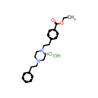 CCOC(=O)c1ccc(CCN2CCN(CCc3ccccc3)CC2)cc1.Cl.Cl